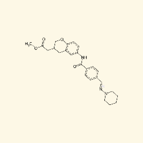 COC(=O)CC1COc2ccc(NC(=O)c3ccc(/C=N/N4CCCCC4)cc3)cc2C1